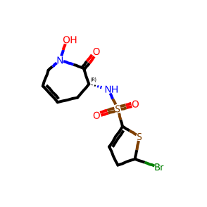 O=C1[C@H](NS(=O)(=O)C2=CCC(Br)S2)CC=CCN1O